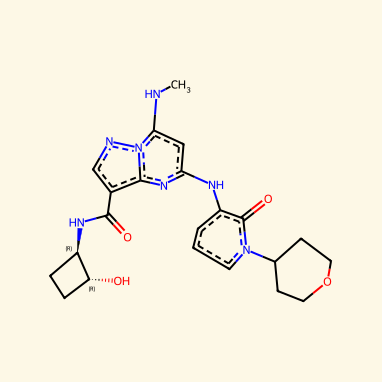 CNc1cc(Nc2cccn(C3CCOCC3)c2=O)nc2c(C(=O)N[C@@H]3CC[C@H]3O)cnn12